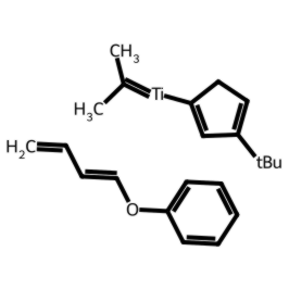 C=CC=COc1ccccc1.C[C](C)=[Ti][C]1=CC(C(C)(C)C)=CC1